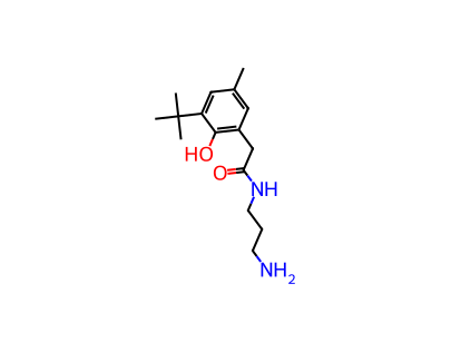 Cc1cc(CC(=O)NCCCN)c(O)c(C(C)(C)C)c1